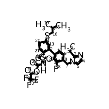 CCc1nccn1Cc1ccc(-c2cc(SCC(C)C)ccc2S(=O)(=O)NC(=O)OC(=O)C(F)(F)F)cc1F